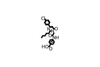 CCCCCc1nc(-c2ccc(Cl)cc2)cc(=O)n1CC(=O)NC12CCC(C(=O)O)(CC1)CC2